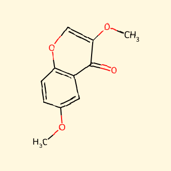 COc1ccc2occ(OC)c(=O)c2c1